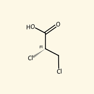 O=C(O)[C@@H](Cl)CCl